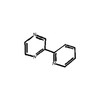 [c]1cccnc1-c1cnccn1